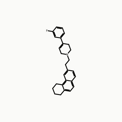 Fc1cccc(C2=CCN(CCc3ccc4ccc5c(c4c3)CCCC5)CC2)c1